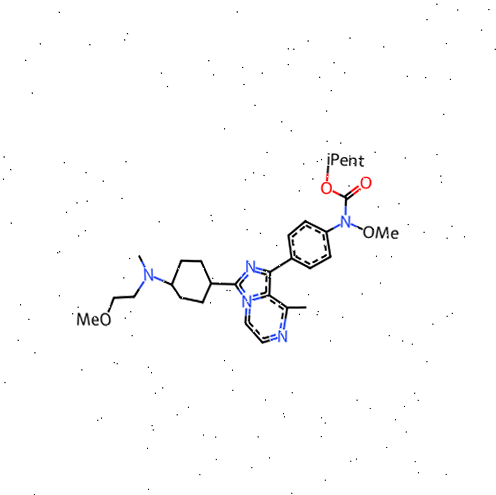 CCCC(C)OC(=O)N(OC)c1ccc(-c2nc(C3CCC(N(C)CCOC)CC3)n3ccnc(C)c23)cc1